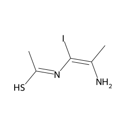 C/C(S)=N\C(I)=C(\C)N